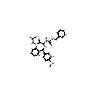 COc1ccc(C2=N[C@H](NC(=O)OCc3ccccc3)C(=O)N(CC(C)C)c3ccccc32)cn1